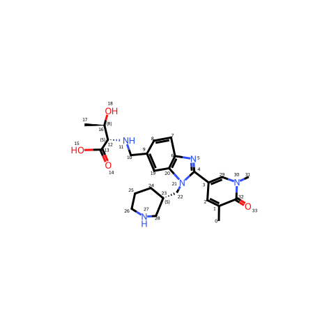 Cc1cc(-c2nc3ccc(CN[C@H](C(=O)O)[C@@H](C)O)cc3n2C[C@H]2CCCNC2)cn(C)c1=O